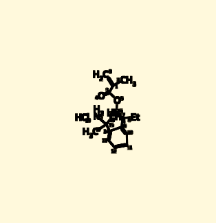 C=C(C)C(=O)ONC(CC)c1ccccc1C(C)(C)N.Cl